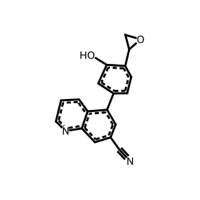 N#Cc1cc(-c2ccc(C3CO3)c(O)c2)c2cccnc2c1